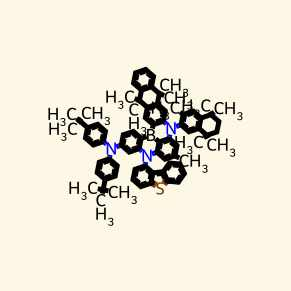 Cc1cc2c3c(c1)N(c1cccc4sc5ccccc5c14)c1cc(N(c4ccc(C(C)(C)C)cc4)c4ccc(C(C)(C)C)cc4)ccc1B3c1cc3c(cc1N2c1cc2c(cc1C)C(C)(C)CCC2(C)C)C(C)(C)c1ccccc1C3(C)C